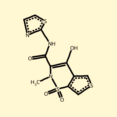 CN1C(C(=O)Nc2nccs2)=C(O)c2cscc2S1(=O)=O